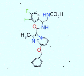 Cc1nc2c(OCc3ccccc3)cccn2c1C(=O)NC(CNC(=O)O)c1ccc(F)c(F)c1